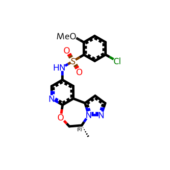 COc1ccc(Cl)cc1S(=O)(=O)Nc1cnc2c(c1)-c1ccnn1[C@H](C)CO2